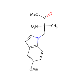 COC(=O)C(C)(Cn1ccc2cc(OC)ccc21)[N+](=O)[O-]